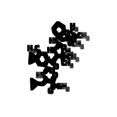 CC1CN(C(=O)[C@@H](NC(=O)NC2(CS(=O)(=O)C(C)(C)C)CCCCC2)C(C)(C)C)[C@H](C(=O)NC(CC2CC2)C(=O)C(N)=O)CC12CC2